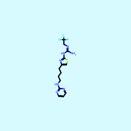 N/C(=N/CC(F)(F)F)Nc1nc(CCCCNc2ncccn2)cs1